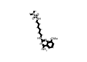 COc1cccc2c(N)nc(NCCCCCCNS(=O)(=O)N(C)C)nc12